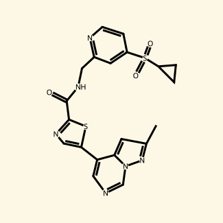 Cc1cc2c(-c3cnc(C(=O)NCc4cc(S(=O)(=O)C5CC5)ccn4)s3)cncn2n1